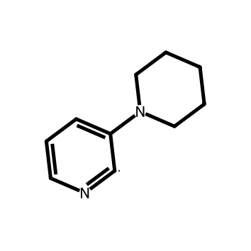 [c]1ncccc1N1CCCCC1